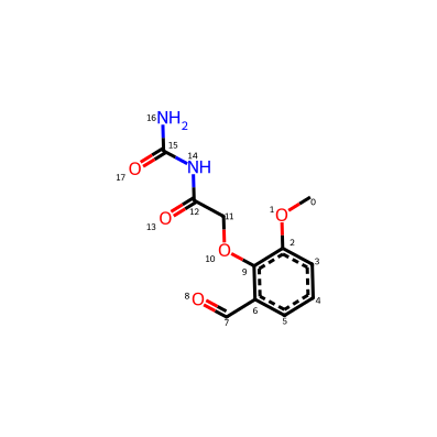 COc1cccc(C=O)c1OCC(=O)NC(N)=O